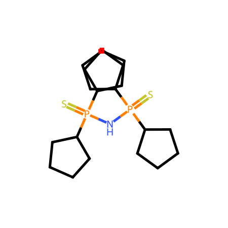 S=P(NP(=S)(C1CCCC1)C1CCCC1)(C1CCCC1)C1CCCC1